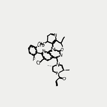 C=CC(=O)N1C[C@H](C)N(c2nc(=O)n(C3=C(C(C)C)N=CCC3SC)c3nc(-c4c(O)cccc4F)c(Cl)cc23)C[C@H]1C